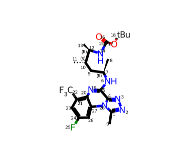 Cc1nnc2c(N[C@H](C)C[C@H](C)[C@@H](C)NC(=O)OC(C)(C)C)nc3c(C(F)(F)F)cc(F)cc3n12